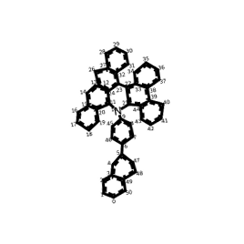 c1ccc2cc(-c3ccc(N(c4cccc5ccccc45)c4c(-c5cccc6ccccc56)c5ccccc5c5ccccc45)cc3)ccc2c1